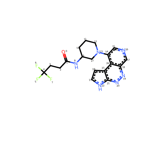 O=C(CCC(F)(F)F)NC1CCCN(c2cncc3nnc4[nH]ccc4c23)C1